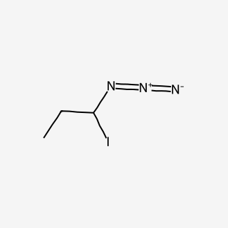 CCC(I)N=[N+]=[N-]